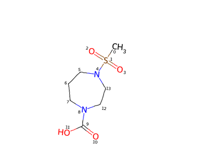 CS(=O)(=O)N1CCCN(C(=O)O)CC1